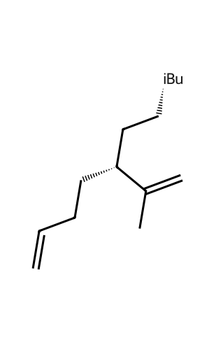 C=CCC[C@H](CC[C@@H](C)CC)C(=C)C